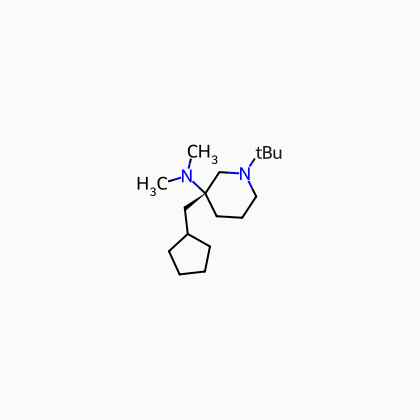 CN(C)[C@@]1(CC2CCCC2)CCCN(C(C)(C)C)C1